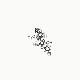 Cc1cn([C@@H]2O[C@H](C(O)c3ccc(Cl)cc3)[C@@H](O)[C@H]2O)c2[nH]cnc(=NN)c12